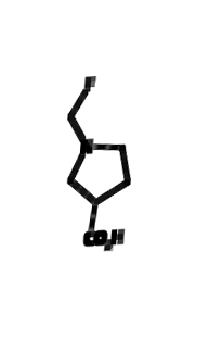 O=C(O)C1CCN(CF)C1